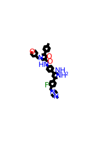 Cc1ccc(-c2cn(CC3CCOCC3)cc(C(=O)Nc3ccc(C4=CC(C5=CC(F)C(CN6CCN(C)CC6)C=C5)=CNC4N)cc3)c2=O)cc1